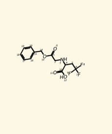 O=C(CNC(CC(F)(F)F)C(=O)O)OCc1ccccc1